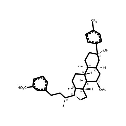 CC(=O)O[C@@H]1C[C@@H]2C[C@](O)(c3ccc(C(F)(F)F)cc3)CC[C@]2(C)[C@H]2CC[C@]3(C)[C@@H]([C@H](C)CCc4cccc(C(=O)O)c4)CC[C@H]3[C@H]12